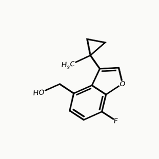 CC1(c2coc3c(F)ccc(CO)c23)CC1